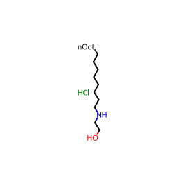 CCCCCCCCCCCCCCCCNCCO.Cl